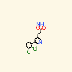 NOC(=O)CCc1cncc(-c2cccc(Cl)c2Cl)c1